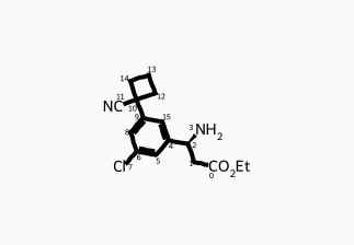 CCOC(=O)C[C@H](N)c1cc(Cl)cc(C2(C#N)CCC2)c1